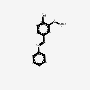 CCCCCCCCCCOc1cc(N=Nc2ccccc2)ccc1O